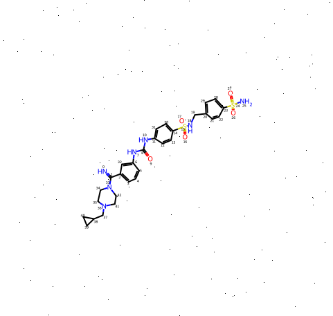 N=C(c1cccc(NC(=O)Nc2ccc(S(=O)(=O)NCc3ccc(S(N)(=O)=O)cc3)cc2)c1)N1CCN(CC2CC2)CC1